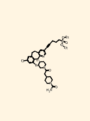 CCOP(=O)(CCCC#Cc1cnc2c(c1)CCc1cc(Cl)cc(Br)c1[C@H]2C1CCN(C(=O)CC2CCN(C(N)=O)CC2)CC1)OCC